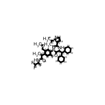 COCc1cc(NC(=O)[C@@H](NC(=O)c2ccnn2C(C)C)C(C2CCCCC2)C2CCCCC2)c(F)cc1C(C)C(=O)NC(F)C(F)F